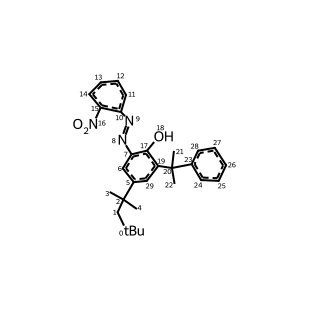 CC(C)(C)CC(C)(C)c1cc(N=Nc2ccccc2[N+](=O)[O-])c(O)c(C(C)(C)c2ccccc2)c1